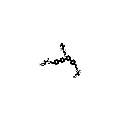 C=C(C)C(=O)C(=O)OCCOc1ccc(-c2ccc(CCCOC(=O)C(=C)COC)cc2)cc1-c1ccc(-c2ccc(CCOC(=O)C(=C)CO)cc2)cc1